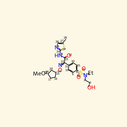 CCN(CCO)S(=O)(=O)c1ccc(/C(=N\O[C@@H]2CC[C@@H](OC)C2)C(=O)Nc2ncc(C)s2)cc1